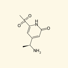 C[C@H](N)c1cc(S(C)(=O)=O)[nH]c(=O)c1